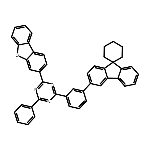 c1ccc(-c2nc(-c3cccc(-c4ccc5c(c4)-c4ccccc4C54CCCCC4)c3)nc(-c3ccc4c(c3)oc3ccccc34)n2)cc1